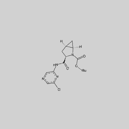 CC(C)(C)OC(=O)N1[C@@H](C(=O)Nc2cncc(Cl)n2)C[C@H]2C[C@H]21